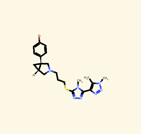 Cc1c(-c2nnc(SCCCN3C[C@@H]4C[C@]4(c4ccc(Br)cc4)C3)n2C)nnn1C